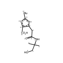 CC(C)(CO)NC(=O)Cc1nc(C(C)(C)C)sc1C(=O)O